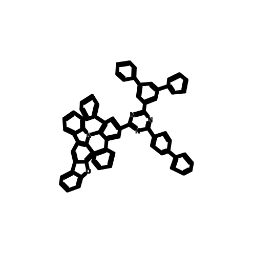 c1ccc(-c2ccc(-c3nc(-c4cc(-c5ccccc5)cc(-c5ccccc5)c4)nc(-c4cc(-c5ccccc5)c(-n5c6ccccc6c6cc7c(cc65)oc5ccccc57)c(-c5ccccc5)c4)n3)cc2)cc1